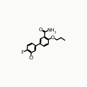 CCCOc1ccc(-c2ccc(F)c(Cl)c2)cc1C(N)=O